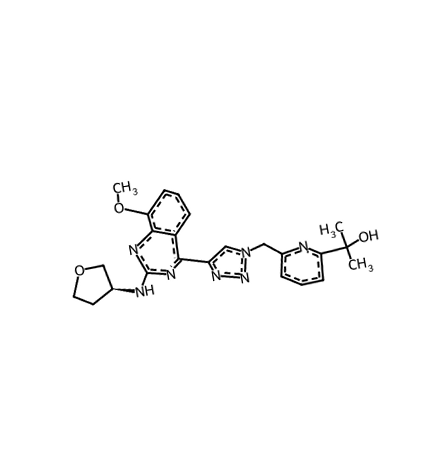 COc1cccc2c(-c3cn(Cc4cccc(C(C)(C)O)n4)nn3)nc(N[C@H]3CCOC3)nc12